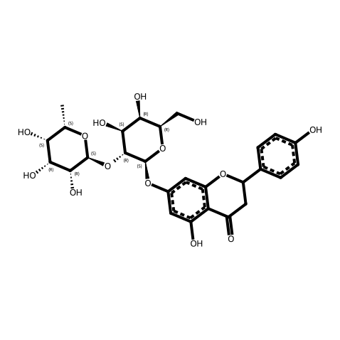 C[C@@H]1O[C@@H](O[C@H]2[C@H](Oc3cc(O)c4c(c3)OC(c3ccc(O)cc3)CC4=O)O[C@H](CO)[C@H](O)[C@@H]2O)[C@H](O)[C@H](O)[C@@H]1O